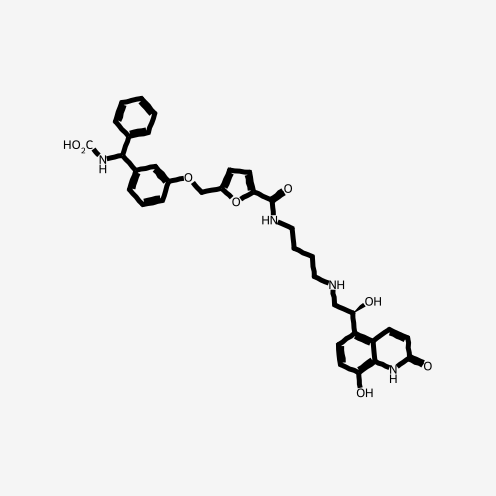 O=C(O)NC(c1ccccc1)c1cccc(OCc2ccc(C(=O)NCCCCNC[C@@H](O)c3ccc(O)c4[nH]c(=O)ccc34)o2)c1